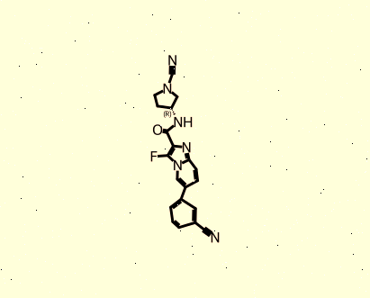 N#Cc1cccc(-c2ccc3nc(C(=O)N[C@@H]4CCN(C#N)C4)c(F)n3c2)c1